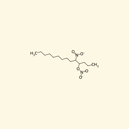 CCCCCCCCCC(C(CCC)O[N+](=O)[O-])[N+](=O)[O-]